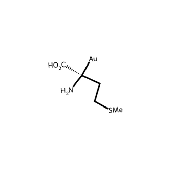 CSCC[C@@](N)([Au])C(=O)O